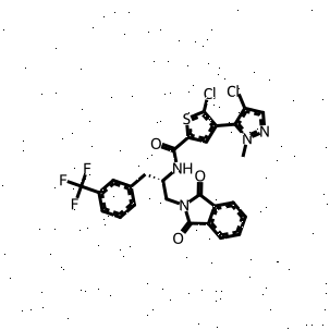 Cn1ncc(Cl)c1-c1cc(C(=O)N[C@@H](Cc2cccc(C(F)(F)F)c2)CN2C(=O)c3ccccc3C2=O)sc1Cl